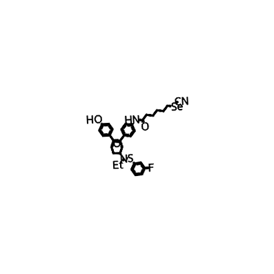 CCN(Sc1cccc(F)c1)C1CC2OC1C(c1ccc(NC(=O)CCCCC[Se]C#N)cc1)=C2c1ccc(O)cc1